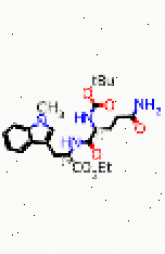 CCOC(=O)[C@@H](Cc1cn(C)c2ccccc12)NC(=O)[C@H](CCC(N)=O)NC(=O)OC(C)(C)C